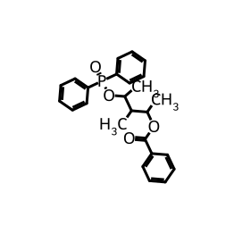 CC(OC(=O)c1ccccc1)C(C)C(C)OP(=O)(c1ccccc1)c1ccccc1